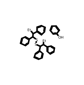 CCC(c1ccccc1)C(SSC(c1ccccc1)C(CC)c1ccccc1)c1ccccc1.Oc1ccccc1